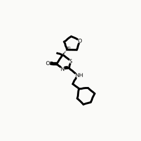 CC1([C@@H]2CCOC2)SC(NCC2CCCCC2)=NC1=O